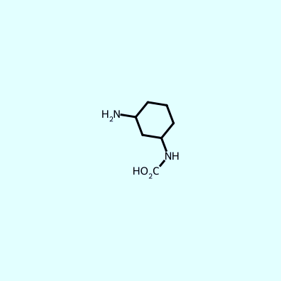 NC1CCCC(NC(=O)O)C1